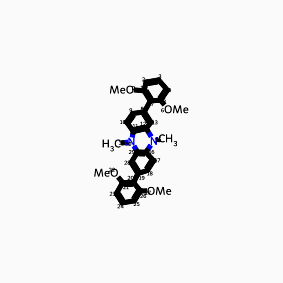 COc1cccc(OC)c1-c1ccc2c(c1)N(C)c1ccc(-c3c(OC)cccc3OC)cc1N2C